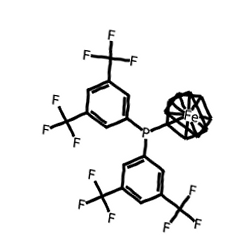 FC(F)(F)c1cc(P(c2cc(C(F)(F)F)cc(C(F)(F)F)c2)[C]23[CH]4[CH]5[CH]6[CH]2[Fe]56432789[CH]3[CH]2[CH]7[CH]8[CH]39)cc(C(F)(F)F)c1